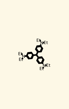 CCN(CC)c1ccc(C(c2ccc(N(CC)CC)cc2)c2ccc(N(CC)CC)cc2)cc1